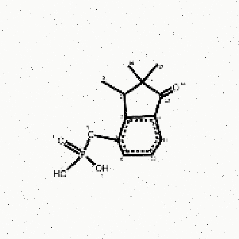 CC1c2c(OP(=O)(O)O)cccc2C(=O)C1(C)C